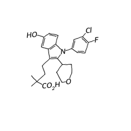 CC(C)(CCc1c(C2CCOCC2)n(-c2ccc(F)c(Cl)c2)c2ccc(O)cc12)C(=O)O